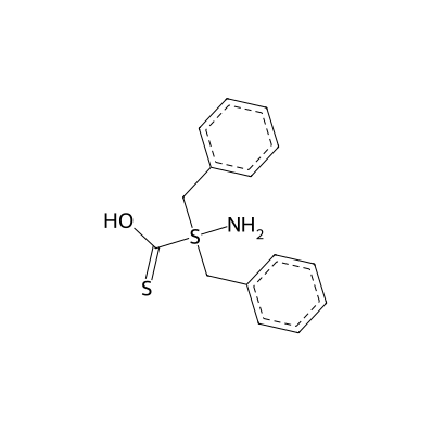 NS(Cc1ccccc1)(Cc1ccccc1)C(O)=S